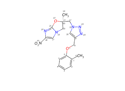 Cc1ccccc1OCc1cn(C[C@@]2(C)Cn3cc([N+](=O)[O-])nc3O2)nn1